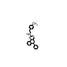 Cc1ccc(CCNc2ncc3c(n2)-c2ccccc2C(c2ccccc2)C3)cc1